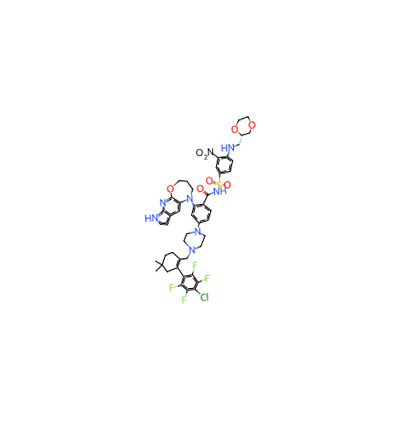 CC1(C)CCC(CN2CCN(c3ccc(C(=O)NS(=O)(=O)c4ccc(NC[C@H]5COCCO5)c([N+](=O)[O-])c4)c(N4CCCOc5nc6[nH]ccc6cc54)c3)CC2)=C(c2c(F)c(F)c(Cl)c(F)c2F)C1